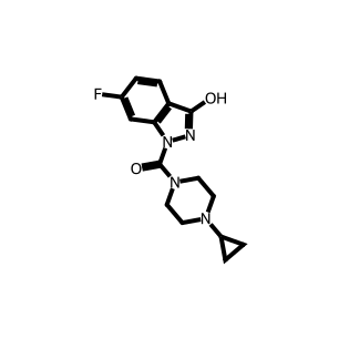 O=C(N1CCN(C2CC2)CC1)n1nc(O)c2ccc(F)cc21